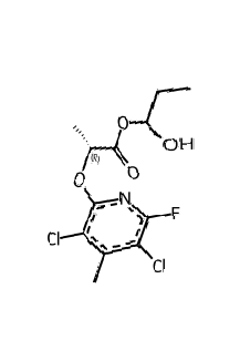 CCC(O)OC(=O)[C@@H](C)Oc1nc(F)c(Cl)c(C)c1Cl